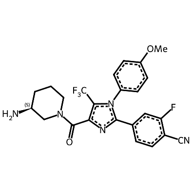 COc1ccc(-n2c(-c3ccc(C#N)c(F)c3)nc(C(=O)N3CCC[C@H](N)C3)c2C(F)(F)F)cc1